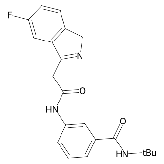 CC(C)(C)NC(=O)c1cccc(NC(=O)CC2=NCc3ccc(F)cc32)c1